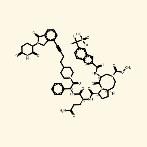 COC(=O)N1CC[C@H]2CC[C@@H](C(=O)N[C@@H](CCC(N)=O)C(=O)N[C@H](C(=O)N3CCC(CCC#Cc4cccc5c4CN(C4CCC(=O)NC4=O)C5=O)CC3)c3ccccc3)N2C(=O)[C@@H](NC(=O)c2cc3cc(C(F)(F)P(=O)(O)O)ccc3s2)C1